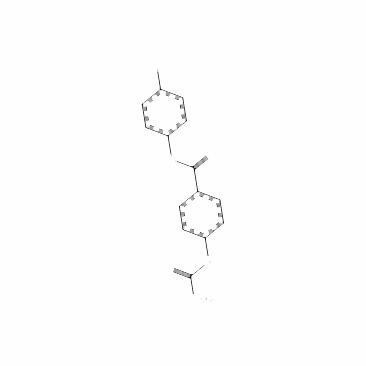 COC(=O)Nc1ccc(C(=O)Oc2ccc(C(=O)O)cc2)cc1